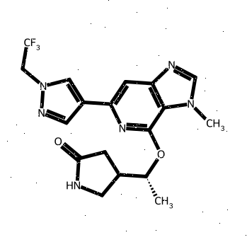 C[C@@H](Oc1nc(-c2cnn(CC(F)(F)F)c2)cc2ncn(C)c12)C1CNC(=O)C1